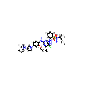 CCOc1cc(N2CC[C@H](N(C)C)C2)ccc1Nc1ncc(Cl)c(Nc2ccccc2S(=O)(=O)NC(C)C)n1